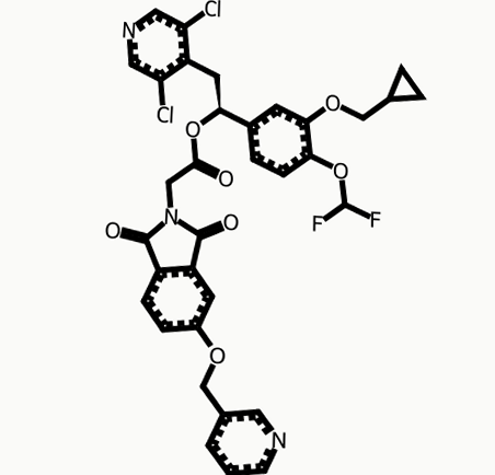 O=C(CN1C(=O)c2ccc(OCc3cccnc3)cc2C1=O)O[C@@H](Cc1c(Cl)cncc1Cl)c1ccc(OC(F)F)c(OCC2CC2)c1